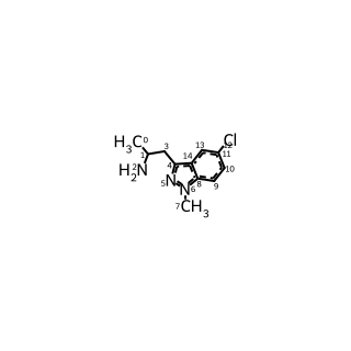 CC(N)Cc1nn(C)c2ccc(Cl)cc12